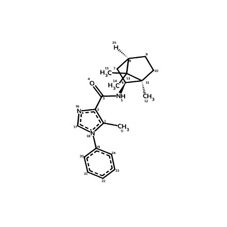 Cc1c(C(=O)N[C@H]2C[C@H]3CC[C@]2(C)C3(C)C)ncn1-c1ccccc1